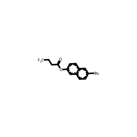 CCC(C)c1ccc2cc(OC(=O)CCC(F)(F)F)ccc2c1